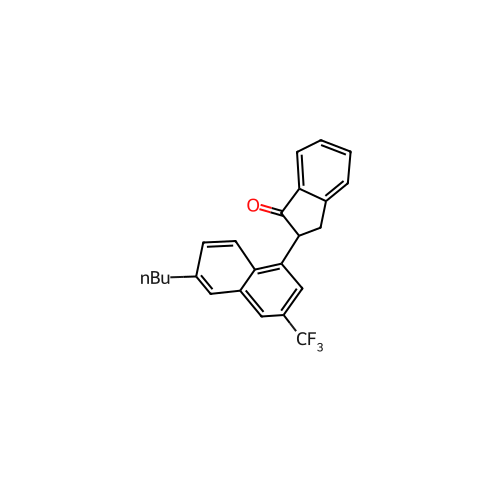 CCCCc1ccc2c(C3Cc4ccccc4C3=O)cc(C(F)(F)F)cc2c1